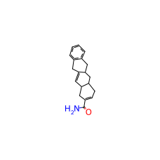 NC(=O)C1=CCC2CC3Cc4ccccc4CC3=CC2C1